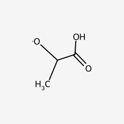 CC([O])C(=O)O